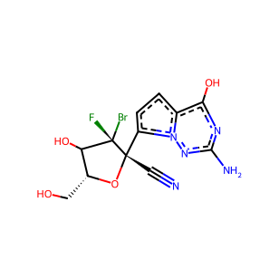 N#C[C@@]1(c2ccc3c(O)nc(N)nn23)O[C@H](CO)C(O)[C@]1(F)Br